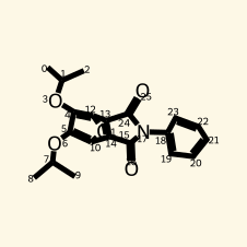 CC(C)Oc1c(OC(C)C)c2oc1c1c2C(=O)N(c2ccccc2)C1=O